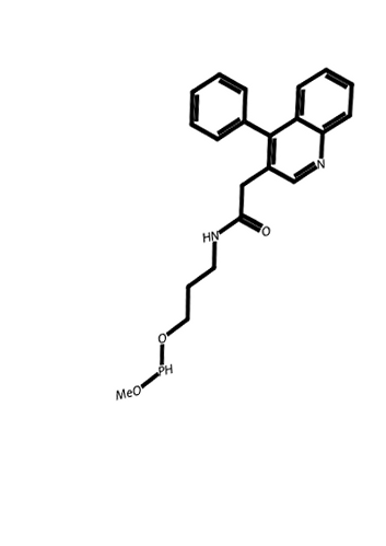 COPOCCCNC(=O)Cc1cnc2ccccc2c1-c1ccccc1